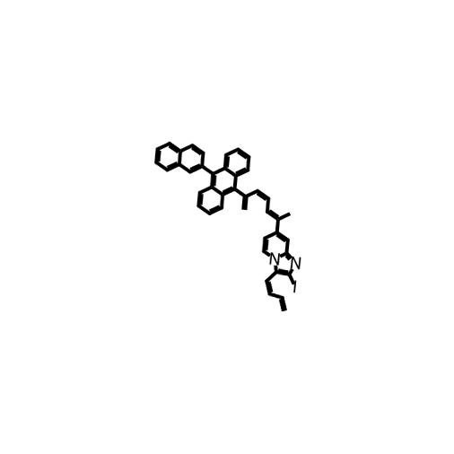 C=C/C=C\c1c(I)nc2cc(/C(C)=C/C=C\C(=C)c3c4ccccc4c(-c4ccc5ccccc5c4)c4ccccc34)ccn12